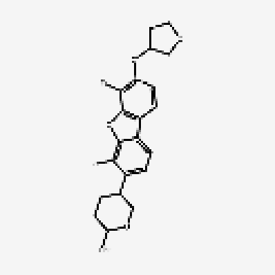 CCCC1CCC(c2ccc3c(oc4c(F)c(OC5CCOC5)ccc43)c2F)CO1